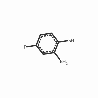 Bc1cc(F)ccc1S